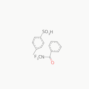 Cc1ccc(S(=O)(=O)O)cc1.O=C(NC(F)(F)F)c1ccccc1